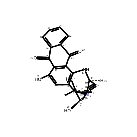 CC(O)[C@]12OC13c1cc(O)c4c(c1N[C@H]2C#C/C=C\[C@H]3O)C(=O)c1ccccc1C4=O